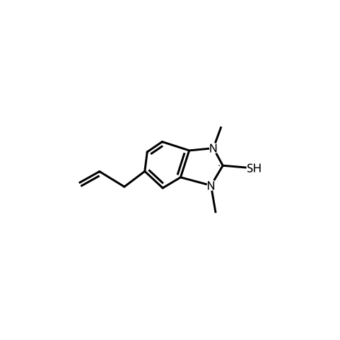 C=CCc1ccc2c(c1)N(C)[C](S)N2C